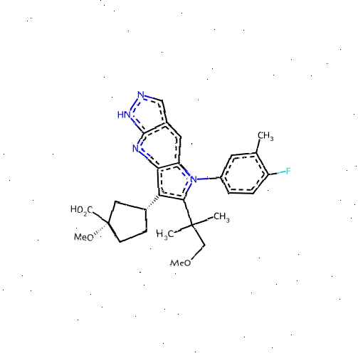 COCC(C)(C)c1c([C@@H]2CC[C@@](OC)(C(=O)O)C2)c2nc3[nH]ncc3cc2n1-c1ccc(F)c(C)c1